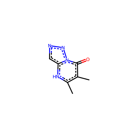 Cc1[nH]c2cnnn2c(=O)c1C